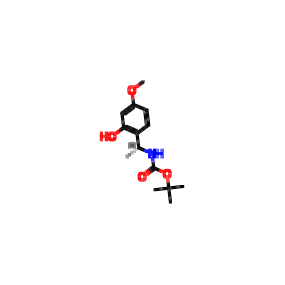 COc1ccc([C@@H](C)NC(=O)OC(C)(C)C)c(O)c1